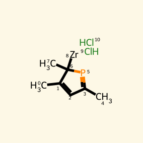 CC1=CC(C)=P[C]1(C)[Zr].Cl.Cl